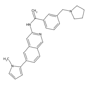 C=C(Nc1cc2cc(-c3cccn3C)ccc2cn1)c1cccc(CN2CCCC2)c1